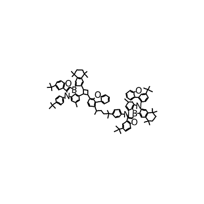 Cc1cc2c3c(c1)N(c1ccc(C(C)(C)C)cc1)c1c(oc4ccc(C(C)(C)C)cc14)B3c1cc3c(cc1C1CC(c4ccc(C(C)CCC(C)(C)c5ccc(N6C7=CC(C)CC8=C7B(c7cc9c(cc7N8c7ccc(C(C)(C)C)c8oc%10ccccc%10c78)C(C)(C)CCC9(C)C)c7oc8ccc(C(C)(C)C)cc8c76)cc5)c5c4oc4ccccc45)C21)C(C)(C)CCC3(C)C